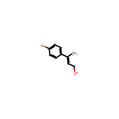 C/C(=C\CO)c1ccc(Br)cc1